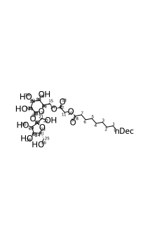 CCCCCCCCCCCCCCCCCC(=O)OCC(=O)OC[C@H]1O[C@H](O[C@]2(CO)O[C@H](CO)[C@@H](O)[C@@H]2O)[C@H](O)[C@@H](O)[C@@H]1O